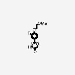 COCCOc1ccc(C2=NNC(=O)CO2)cc1F